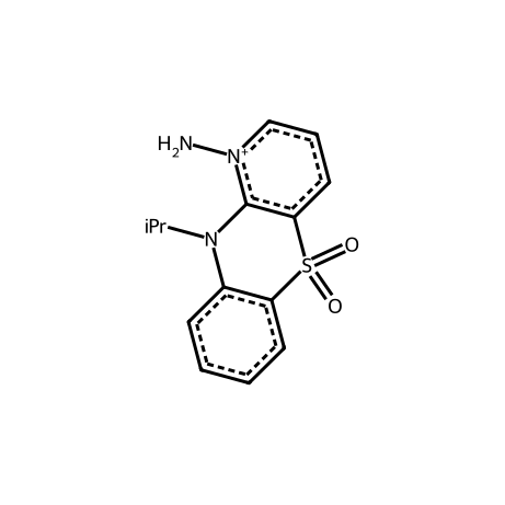 CC(C)N1c2ccccc2S(=O)(=O)c2ccc[n+](N)c21